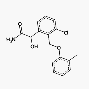 Cc1ccccc1OCc1c(Cl)cccc1C(O)C(N)=O